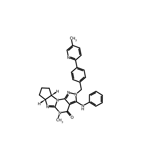 Cc1ccc(-c2ccc(Cn3nc4c(c3Nc3ccccc3)C(=O)N(C)C3=N[C@@H]5CCC[C@@H]5N34)cc2)nc1